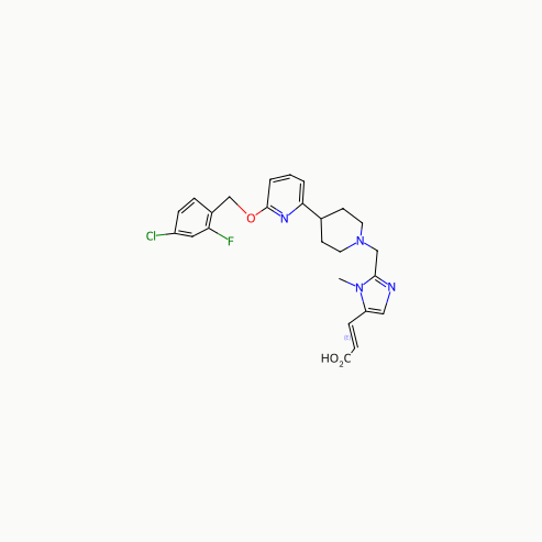 Cn1c(/C=C/C(=O)O)cnc1CN1CCC(c2cccc(OCc3ccc(Cl)cc3F)n2)CC1